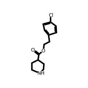 O=C(OCCc1ccc(Cl)cc1)C1CCNCC1